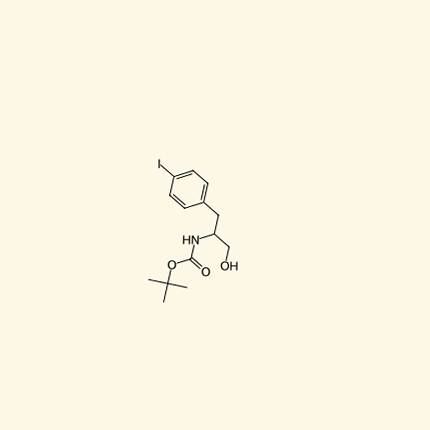 CC(C)(C)OC(=O)NC(CO)Cc1ccc(I)cc1